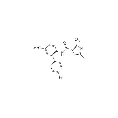 COc1ccc(NC(=O)c2sc(C)nc2C(F)(F)F)c(-c2ccc(Cl)cc2)c1